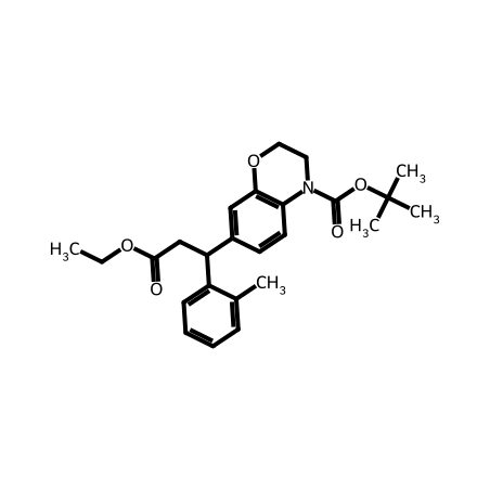 CCOC(=O)CC(c1ccc2c(c1)OCCN2C(=O)OC(C)(C)C)c1ccccc1C